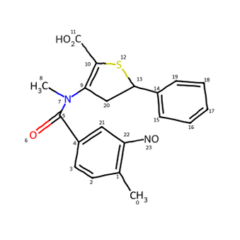 Cc1ccc(C(=O)N(C)C2=C(C(=O)O)SC(c3ccccc3)C2)cc1N=O